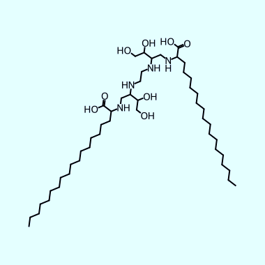 CCCCCCCCCCCCCCCCCC(NCC(NCCNC(CNC(CCCCCCCCCCCCCCCCC)C(=O)O)C(O)CO)C(O)CO)C(=O)O